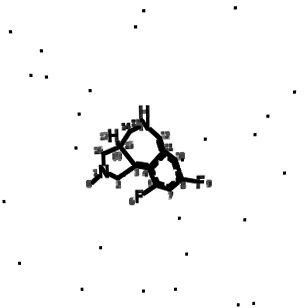 CN1CC2=c3c(F)cc(F)cc3=CNC[C@H]2C1